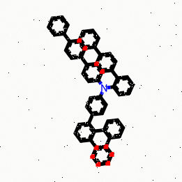 c1ccc(-c2ccc(-c3ccc(N(c4ccc(-c5cccc(-c6ccccc6)c5-c5ccccc5-c5ccccc5)cc4)c4ccccc4-c4ccc(-c5ccccc5)cc4)cc3)cc2)cc1